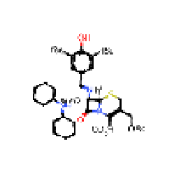 C1CCC(NC2CCCCC2)CC1.CO[C@@]1(/N=C/c2cc(C(C)(C)C)c(O)c(C(C)(C)C)c2)C(=O)N2C(C(=O)O)=C(COC(C)=O)CS[C@@H]21